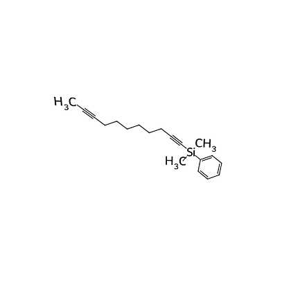 CC#CCCCCCCC#C[Si](C)(C)c1ccccc1